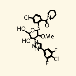 COC1C(n2cc(-c3cc(F)c(Cl)c(F)c3)nn2)[C@@H](O)C(CO)O[C@@H]1Sc1cc(Cl)ccc1C(=O)N1CCCCC1